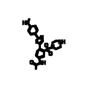 CNc1ccc(-c2ncc(-c3ccc(NC(C)=O)cc3S(=O)(=O)N3CCNCC3)s2)cc1